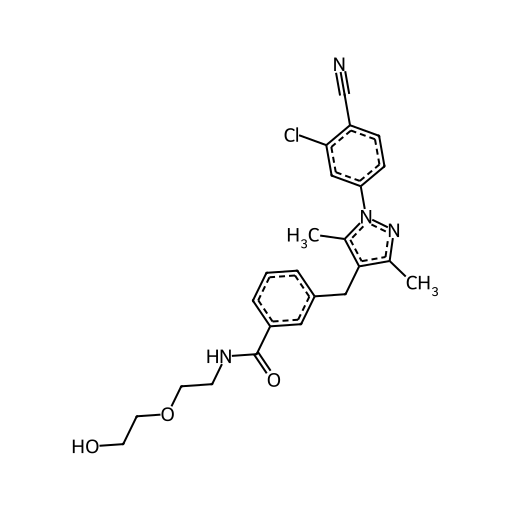 Cc1nn(-c2ccc(C#N)c(Cl)c2)c(C)c1Cc1cccc(C(=O)NCCOCCO)c1